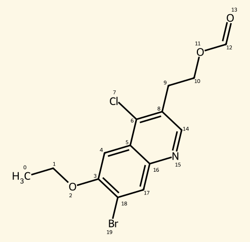 CCOc1cc2c(Cl)c(CCOC=O)cnc2cc1Br